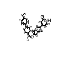 CCc1cnc(N2CCC([C@H](C)Oc3nn4cc(-c5cc[nH]c(=O)c5)nc4s3)CC2)nc1